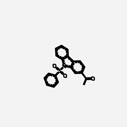 CC(=O)c1ccc2c3ccccc3n(S(=O)(=O)c3ccccc3)c2c1